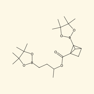 CC(CCB1OC(C)(C)C(C)(C)O1)OC(=O)C12CC(C1)C2B1OC(C)(C)C(C)(C)O1